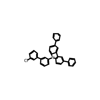 Clc1cccc(-c2cccc(-n3c4ccc(-c5ccccc5)cc4c4cc(-c5ccccc5)ccc43)c2)c1